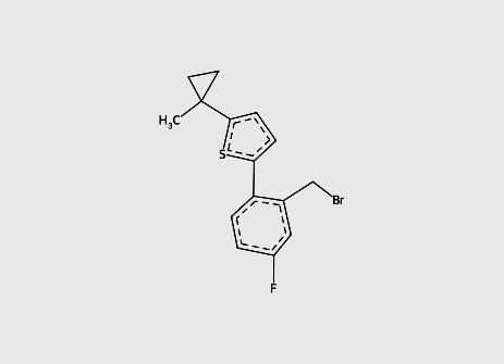 CC1(c2ccc(-c3ccc(F)cc3CBr)s2)CC1